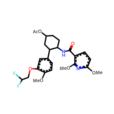 COc1ccc(C(=O)NC2CCC(OC(C)=O)CC2c2ccc(OC)c(OCC(F)F)c2)c(OC)n1